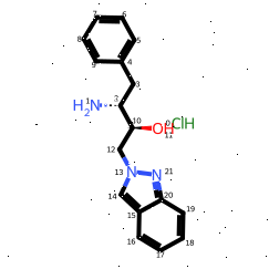 Cl.N[C@H](Cc1ccccc1)[C@@H](O)Cn1cc2ccccc2n1